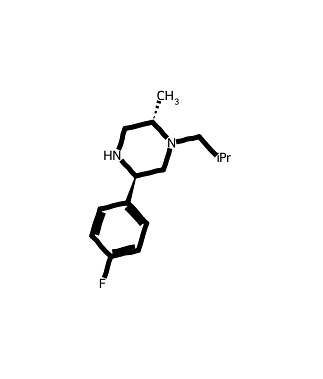 CC(C)CN1C[C@@H](c2ccc(F)cc2)NC[C@@H]1C